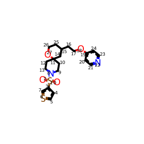 O=S(=O)(c1ccsc1)N1CCC2(CC1)CC(CCOc1ccncc1)CCO2